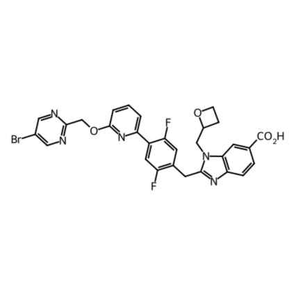 O=C(O)c1ccc2nc(Cc3cc(F)c(-c4cccc(OCc5ncc(Br)cn5)n4)cc3F)n(CC3CCO3)c2c1